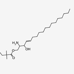 CCCCCCCCCCCCCC=CC(O)C(N)COC(=O)C(C)(C)CCl